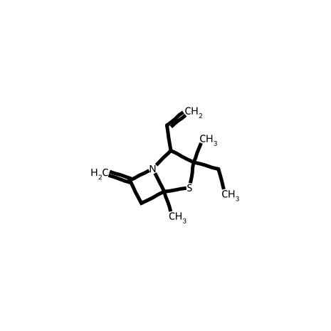 C=CC1N2C(=C)CC2(C)SC1(C)CC